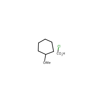 COC1CCCCC1.O=C(O)Cl